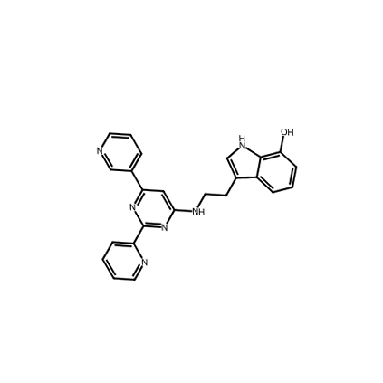 Oc1cccc2c(CCNc3cc(-c4cccnc4)nc(-c4ccccn4)n3)c[nH]c12